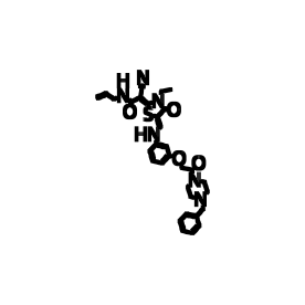 C=CCNC(=O)C(C#N)=c1sc(=CNc2cccc(OCC(=O)N3CCN(Cc4ccccc4)CC3)c2)c(=O)n1CC